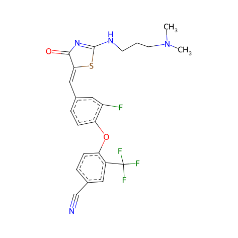 CN(C)CCCNC1=NC(=O)C(=Cc2ccc(Oc3ccc(C#N)cc3C(F)(F)F)c(F)c2)S1